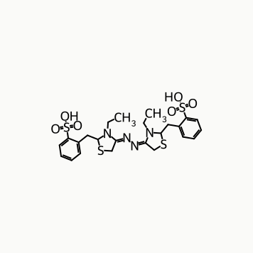 CCN1C(=NN=C2CSC(Cc3ccccc3S(=O)(=O)O)N2CC)CSC1Cc1ccccc1S(=O)(=O)O